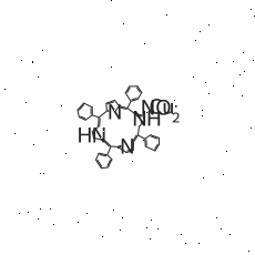 O=[N+]([O-])c1cc2[nH]c1c(-c1ccccc1)c1nc(c(-c3ccccc3)c3ccc([nH]3)c(-c3ccccc3)c3nc(c2-c2ccccc2)C=C3)C=C1.[Cu]